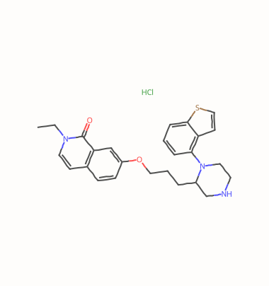 CCn1ccc2ccc(OCCCC3CNCCN3c3cccc4sccc34)cc2c1=O.Cl